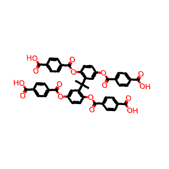 CC(C)(c1cc(OC(=O)c2ccc(C(=O)O)cc2)ccc1OC(=O)c1ccc(C(=O)O)cc1)c1cc(OC(=O)c2ccc(C(=O)O)cc2)ccc1OC(=O)c1ccc(C(=O)O)cc1